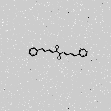 O=C(C=CC=Cc1ccccc1)C(=O)C=CC=Cc1ccccc1